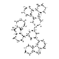 c1ccc2c(c1)[nH]c1cccc(-c3cc(-c4ccc5c6ccccc6c6ccccc6c5c4)cc(-c4cccc5[nH]c6ccccc6c45)c3)c12